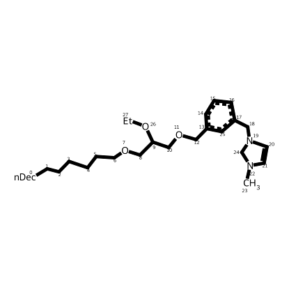 CCCCCCCCCCCCCCCCOCC(COCc1cccc(CN2C=CN(C)C2)c1)OCC